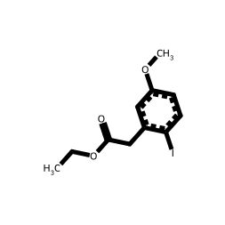 CCOC(=O)Cc1cc(OC)ccc1I